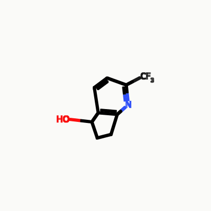 OC1CCc2nc(C(F)(F)F)ccc21